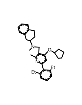 CCc1cccc(CC)c1-c1cc(OC2CCCC2)c(CN(C)C2CCc3ccccc3C2)c(C)n1